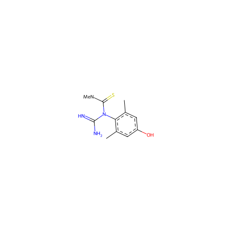 CNC(=S)N(C(=N)N)c1c(C)cc(O)cc1C